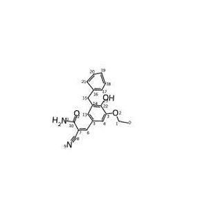 CCOc1cc(C=C(C#N)C(N)=O)cc(Cc2ccccc2)c1O